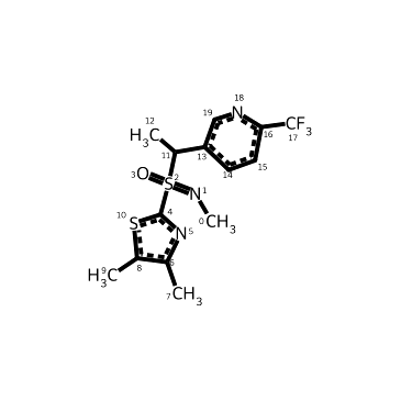 CN=S(=O)(c1nc(C)c(C)s1)C(C)c1ccc(C(F)(F)F)nc1